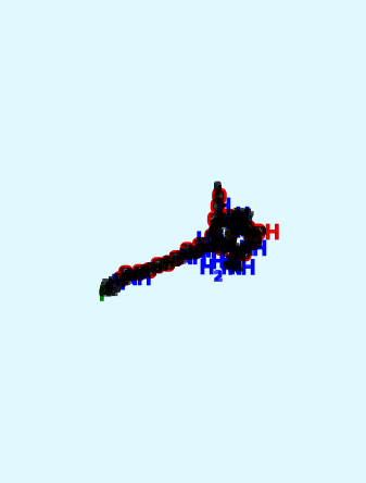 CCCOCCOCCCC(=O)[C@@H]1CSCC(=O)N[C@@H](CCCCNC(=O)COCC(=O)NCCOCCOCCOCCOCCOCCNC(=O)CO/N=C/c2ccc(F)cc2)C(=O)N[C@H]2CSSC[C@H](NC(=O)[C@H](CC(=O)O)CC(=O)CNC(=O)[C@H](CCCNC(=N)N)CC2=O)C(=O)C[C@@H](Cc2ccccc2)C(=O)N1